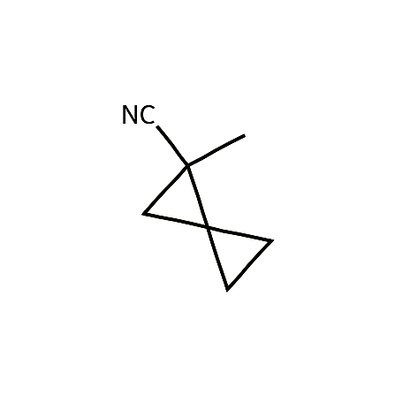 CC1(C#N)CC12CC2